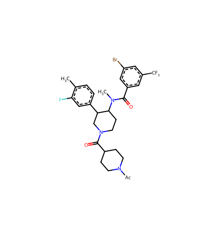 CC(=O)N1CCC(C(=O)N2CCC(N(C)C(=O)c3cc(Br)cc(C(F)(F)F)c3)C(c3ccc(C)c(F)c3)C2)CC1